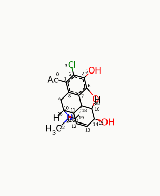 CC(=O)c1c(Cl)c(O)c2c3c1C[C@@H]1[C@@H]4C=C[C@H](O)[C@H](O2)[C@]34CCN1C